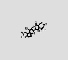 CCc1c2c(nc3ccc(O)c(CN(C)C)c13)-c1cc3c(c(=O)n1C2)COC(=O)CC3(O)CC